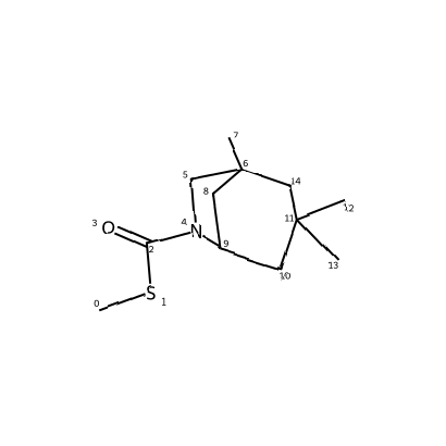 CSC(=O)N1CC2(C)CC1CC(C)(C)C2